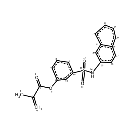 C=C(C)C(=O)Oc1cccc(S(=O)(=O)Nc2ccc3ccccc3c2)c1